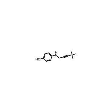 C[Si](C)(C)C#CCNc1ccc(O)cc1